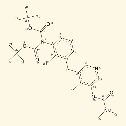 Cc1c(Cc2ccnc(N(C(=O)OC(C)(C)C)C(=O)OC(C)(C)C)c2F)cncc1OC(=O)N(C)C